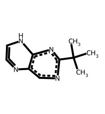 CC(C)(C)c1ncc2c(n1)NC=C=N2